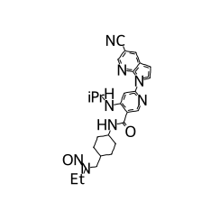 CCN(CC1CCC(NC(=O)c2cnc(-n3ccc4cc(C#N)cnc43)cc2NC(C)C)CC1)N=O